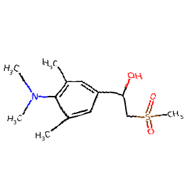 Cc1cc(C(O)CS(C)(=O)=O)cc(C)c1N(C)C